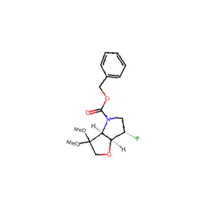 COC1(OC)CO[C@H]2[C@@H]1N(C(=O)OCc1ccccc1)C[C@@H]2F